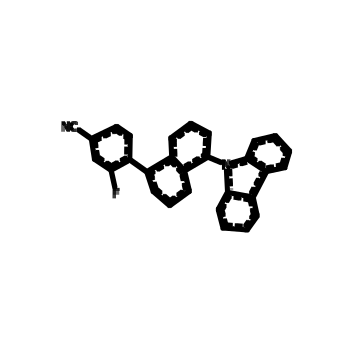 N#Cc1ccc(-c2cccc3c(-n4c5ccccc5c5ccccc54)cccc23)c(F)c1